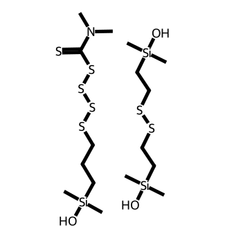 CN(C)C(=S)SSSSCCC[Si](C)(C)O.C[Si](C)(O)CCSSCC[Si](C)(C)O